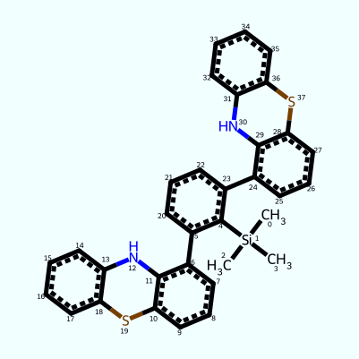 C[Si](C)(C)c1c(-c2cccc3c2Nc2ccccc2S3)cccc1-c1cccc2c1Nc1ccccc1S2